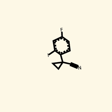 N#CC1(c2ccc(F)cc2I)CC1